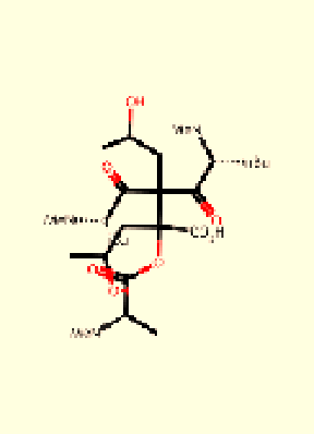 CCCC[C@@H](NC)C(=O)C(CC(C)O)(C(=O)[C@@H](NC)[C@@H](C)CC)C(CC(C)O)(OC(=O)[C@@H](C)NC)C(=O)O